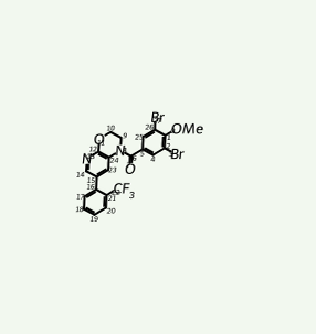 COc1c(Br)cc(C(=O)N2CCOc3ncc(-c4ccccc4C(F)(F)F)cc32)cc1Br